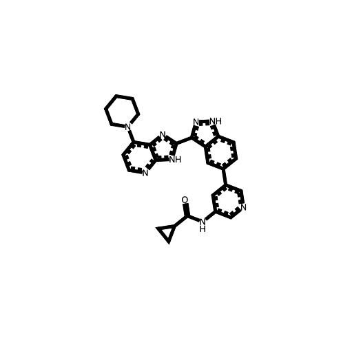 O=C(Nc1cncc(-c2ccc3[nH]nc(-c4nc5c(N6CCCCC6)ccnc5[nH]4)c3c2)c1)C1CC1